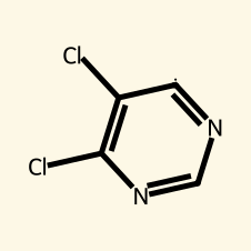 Clc1[c]ncnc1Cl